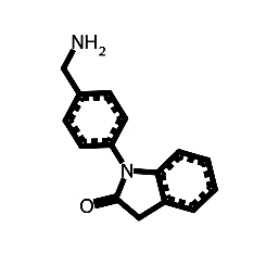 NCc1ccc(N2C(=O)Cc3ccccc32)cc1